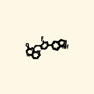 O=c1cnc2cccnc2n1Cc1ccc(-c2ccc3[nH]ncc3c2)cc1F